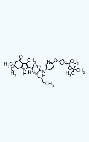 CCCC[C@H](NC(=O)c1[nH]c2c(c1C)C(=O)CC(C)(C)C2)C(=O)Nc1ccc(OC2CN(C(=O)OC(C)(C)C)C2)nc1